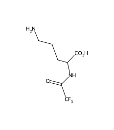 NCCCC(NC(=O)C(F)(F)F)C(=O)O